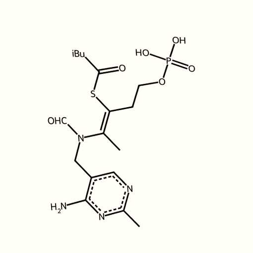 CCC(C)C(=O)S/C(CCOP(=O)(O)O)=C(/C)N(C=O)Cc1cnc(C)nc1N